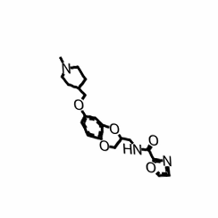 CN1CCC(COc2ccc3c(c2)OC(CNC(=O)c2ncco2)CO3)CC1